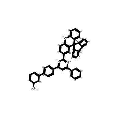 CC1C=CC=C(c2ccc(-c3cc(-c4ccccc4)nc(-c4ccc5c(c4)C4(c6ccccc6O5)c5ccccc5-c5ccccc54)n3)cc2)C1